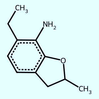 CCc1ccc2c(c1N)OC(C)C2